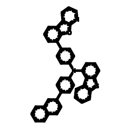 c1ccc2cc(-c3ccc(N(c4ccc(-c5cccc6c5oc5ncccc56)cc4)c4cccc5sc6ccccc6c45)cc3)ccc2c1